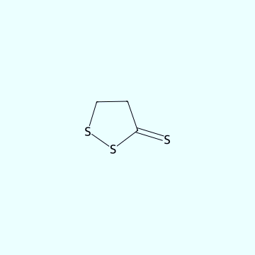 S=C1CCSS1